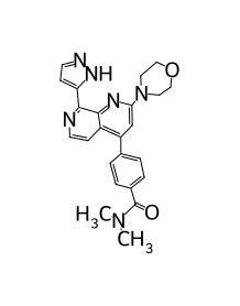 CN(C)C(=O)c1ccc(-c2cc(N3CCOCC3)nc3c(-c4ccn[nH]4)nccc23)cc1